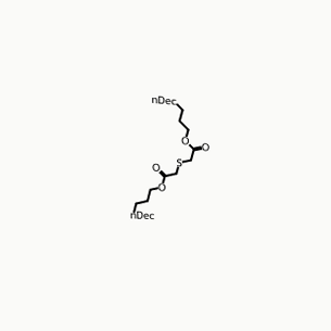 CCCCCCCCCCCCCOC(=O)CSCC(=O)OCCCCCCCCCCCCC